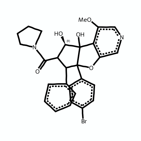 COc1cncc2c1C1(O)[C@H](O)C(C(=O)N3CCCC3)C(c3ccccc3)C1(c1ccc(Br)cc1)O2